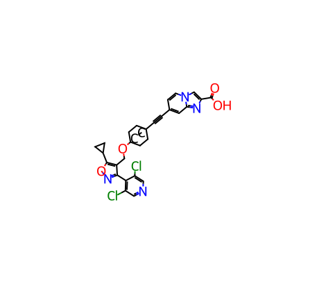 O=C(O)c1cn2ccc(C#CC34CCC(OCc5c(-c6c(Cl)cncc6Cl)noc5C5CC5)(CC3)CC4)cc2n1